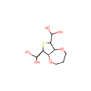 OC(O)C1SC(C(O)O)C2OCCCOC21